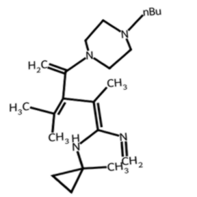 C=N/C(NC1(C)CC1)=C(\C)C(C(=C)N1CCN(CCCC)CC1)=C(C)C